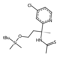 CC(=S)N[C@@](C)(CCO[Si](C)(C)C(C)(C)C)c1cc(Cl)ccn1